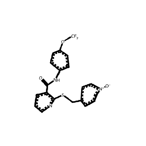 O=C(Nc1ccc(OC(F)(F)F)cc1)c1cccnc1SCc1cc[n+]([O-])cc1